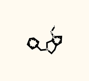 ISn1ccc2c1CN(Cc1ccccc1)CC2